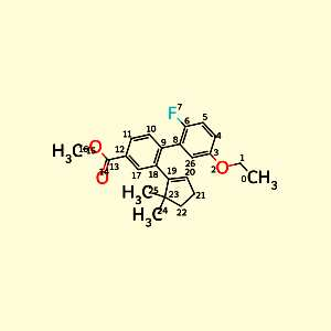 CCOc1ccc(F)c(-c2ccc(C(=O)OC)cc2C2=CCCC2(C)C)c1